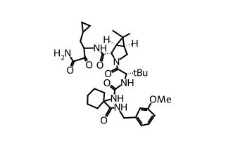 COc1cccc(CNC(=O)C2(NC(=O)N[C@H](C(=O)N3C[C@H]4[C@@H]([C@H]3C(=O)NC(CC3CC3)C(=O)C(N)=O)C4(C)C)C(C)(C)C)CCCCC2)c1